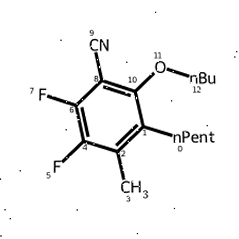 CCCCCc1c(C)c(F)c(F)c(C#N)c1OCCCC